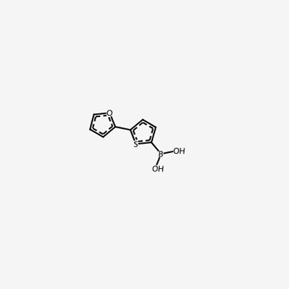 OB(O)c1ccc(-c2ccco2)s1